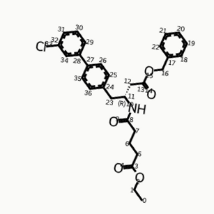 CCOC(=O)CCCC(=O)N[C@@H](CC(=O)OCc1ccccc1)Cc1ccc(-c2cccc(Cl)c2)cc1